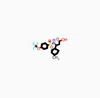 Cc1ccc(C(CC(=O)O)NS(=O)(=O)c2ccc(OC(F)(F)F)cc2)cc1